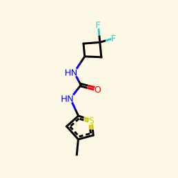 Cc1csc(NC(=O)NC2CC(F)(F)C2)c1